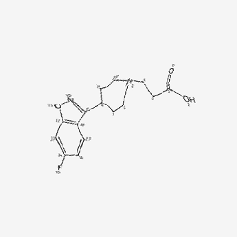 O=C(O)CCN1CCC(c2noc3cc(F)ccc23)CC1